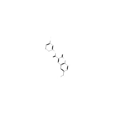 O=C(OC1=CC(Cl)=CCC1)c1cc2cc(CO)ccc2oc1=O